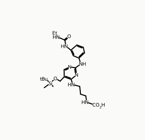 CCNC(=O)Nc1cccc(Nc2ncc(CO[Si](C)(C)C(C)(C)C)c(NCCCNC(=O)O)n2)c1